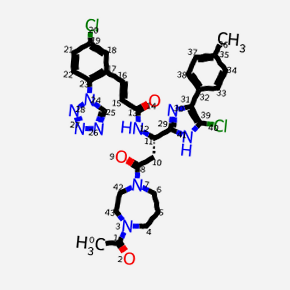 CC(=O)N1CCCN(C(=O)C[C@H](NC(=O)/C=C/c2cc(Cl)ccc2-n2cnnn2)c2nc(-c3ccc(C)cc3)c(Cl)[nH]2)CC1